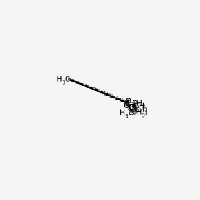 CC#CC#CC#CC#CC#CC#CC#CC#CC#CC#CC#CC(=O)OC1CC(C)(C)N(C)C(C)(C)C1